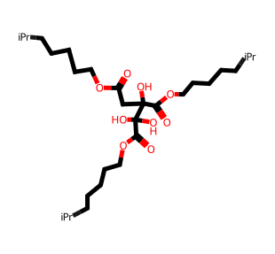 CC(C)CCCCCOC(=O)CC(O)(C(=O)OCCCCCC(C)C)C(O)(O)C(=O)OCCCCCC(C)C